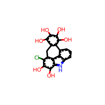 Oc1c(O)c(O)c2c(c1O)Cc1c(Cl)c(O)c(O)c3[nH]c4cccc-2c4c13